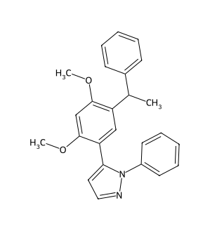 COc1cc(OC)c(C(C)c2ccccc2)cc1-c1ccnn1-c1ccccc1